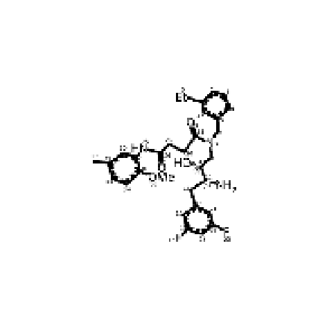 CCc1cccc(CN(C[C@@H](O)[C@@H](N)Cc2cc(F)cc(F)c2)C(=O)CCC(=O)Nc2cc(C)ccc2OC)c1